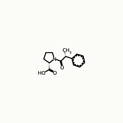 C[C@@H](C(=O)N1CCC[C@H]1C(=O)O)c1ccccc1